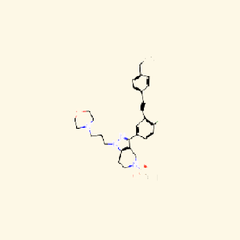 CS(=O)(=O)N1CCc2c(c(-c3ccc(Cl)c(C#Cc4ccc(CC#N)cc4)c3)nn2CCCN2CCOCC2)C1